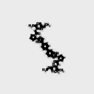 COC(=O)N[C@H](CC(=O)N1CCC[C@H]1c1ncc(-c2ccc(-c3ccc4nc([C@@H]5CCCN5C(=O)C[C@@H](NC(=O)OC)C(C)C)[nH]c4c3)cc2)[nH]1)C(C)C